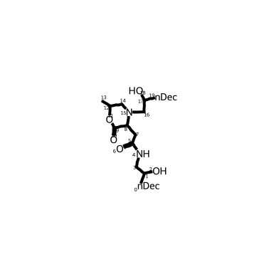 CCCCCCCCCCC(O)CNC(=O)CC1C(=O)OC(C)CN1CC(O)CCCCCCCCCC